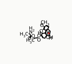 COc1ccc2c3c1O[C@@H]1C(OC(=O)[C@H](C)OC(=O)[C@H](C)N)=CC[C@]4(O)[C@@H](CCC[C@@]314)C2